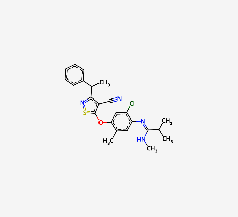 CNC(=Nc1cc(C)c(Oc2snc(C(C)c3ccccc3)c2C#N)cc1Cl)C(C)C